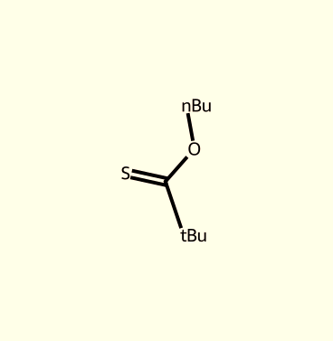 CCCCOC(=S)C(C)(C)C